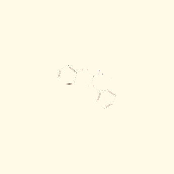 NC(Oc1ccccc1)Oc1ccccc1